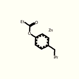 CCC(=O)Oc1ccc(CC(C)C)cc1.[Zn]